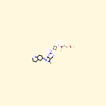 COCCC(=O)N[C@H]1C[C@H](Nc2ncc3c(Br)nn(-c4ccc5ncccc5c4)c3n2)C1